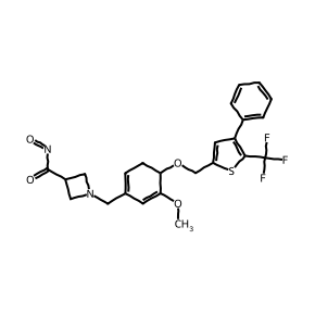 COC1=CC(CN2CC(C(=O)N=O)C2)=CCC1OCc1cc(-c2ccccc2)c(C(F)(F)F)s1